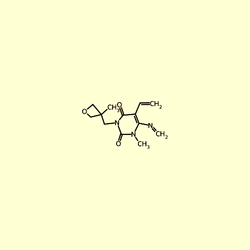 C=Cc1c(N=C)n(C)c(=O)n(CC2(C)COC2)c1=O